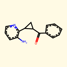 Nc1cccnc1C1CC1C(=O)c1ccccc1